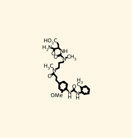 COc1cc(CCC(=O)N(C)CCCN(C)C(=O)NC(CC(=O)O)C(N)=O)ccc1NC(=O)Nc1ccccc1C